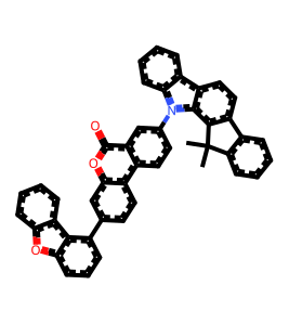 CC1(C)c2ccccc2-c2ccc3c4ccccc4n(-c4ccc5c(c4)c(=O)oc4cc(-c6cccc7oc8ccccc8c67)ccc45)c3c21